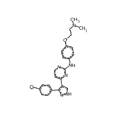 CN(C)CCOc1ccc(Nc2nccc(-c3c[nH]nc3-c3ccc(Cl)cc3)n2)cc1